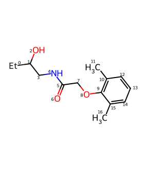 CCC(O)CNC(=O)COc1c(C)cccc1C